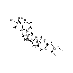 CCC(CC)CN1CCN2C[C@@H](NS(=O)(=O)c3cccc(C(F)(F)F)c3)C[C@H]2C1